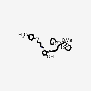 COC(=O)C(CC=C=CC[C@H]1[C@@H](O)CC[C@@H]1/C=C/CCOc1ccc(C)cc1)(OC1CCCCO1)OC1CCCCO1